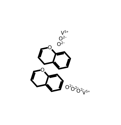 C1=COc2ccccc2C1.C1=COc2ccccc2C1.[O-2].[O-2].[O-2].[O-2].[O-2].[V+5].[V+5]